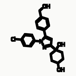 OCc1ccc(-c2cc(C3(O)CCC(O)CC3)nn2-c2ccc(Cl)cc2)cc1